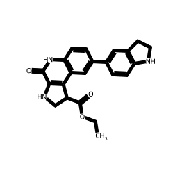 CCOC(=O)C1CNc2c1c1cc(-c3ccc4c(c3)CCN4)ccc1[nH]c2=O